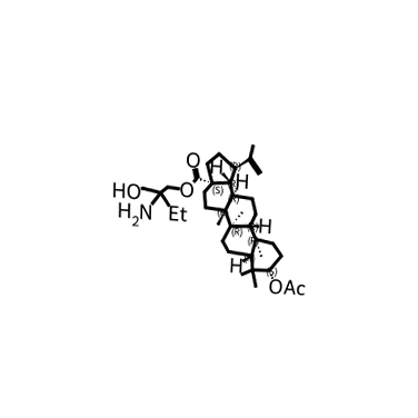 C=C(C)[C@@H]1CC[C@]2(C(=O)OCC(N)(CC)CO)CC[C@]3(C)[C@H](CC[C@@H]4[C@@]5(C)CC[C@H](OC(C)=O)C(C)(C)[C@@H]5CC[C@]43C)[C@@H]12